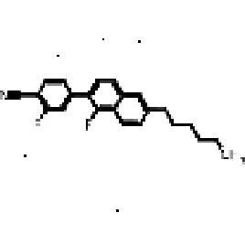 CCCCCCc1ccc2c(F)c(-c3ccc(C#N)c(F)c3)ccc2c1